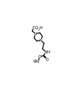 CC(C)(C)OC(=O)NCCN1CCN(CC(=O)O)CC1